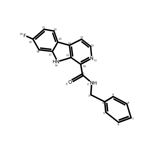 O=C(NCc1ccccc1)c1nccc2c1[nH]c1cc(F)ccc12